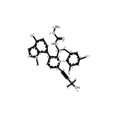 Cn1ncc2c(Cl)ccc(-c3ccc(C#CC(C)(C)O)nc3[C@H](Cc3cc(F)cc(F)c3)NC(=O)OC(C)(C)C)c21